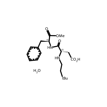 COC(=O)[C@H](Cc1ccccc1)NC(=O)[C@H](CC(=O)O)NCCC(C)(C)C.O